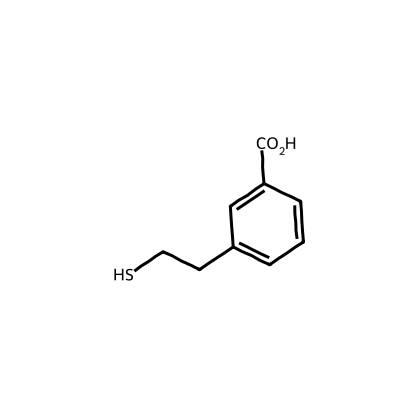 O=C(O)c1cccc(CCS)c1